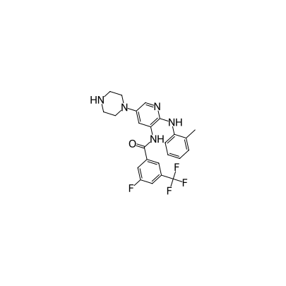 Cc1ccccc1Nc1ncc(N2CCNCC2)cc1NC(=O)c1cc(F)cc(C(F)(F)F)c1